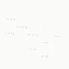 CCc1cccc(C)c1N(C)C(=O)NC(=NC)NC